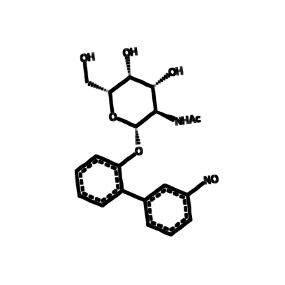 CC(=O)N[C@H]1[C@H](Oc2ccccc2-c2cccc(N=O)c2)O[C@H](CO)[C@H](O)[C@@H]1O